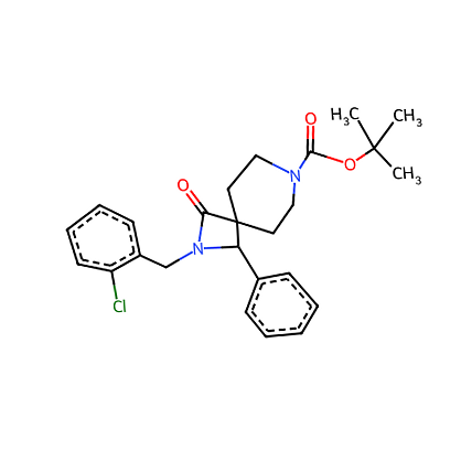 CC(C)(C)OC(=O)N1CCC2(CC1)C(=O)N(Cc1ccccc1Cl)C2c1ccccc1